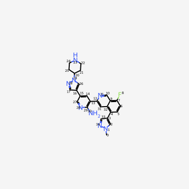 Cn1cc(-c2ccc(F)c3cnc(-c4cc(-c5cnn(C6CCNCC6)c5)cnc4N)cc23)cn1